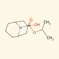 CC(C)OC(=O)N1C2CCCC1CC(O)C2